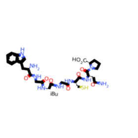 CC[C@H](C)[C@H](NC(=O)CNC(=O)[C@@H](N)Cc1c[nH]c2ccccc12)C(=O)NCC(=O)N[C@@H](CS)C(=O)N[C@@H](CC(N)=O)C(=O)N1CCC[C@H]1C(=O)O